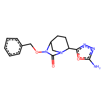 Nc1nnc(C2CCC3CN2C(=O)N3OCc2ccccc2)o1